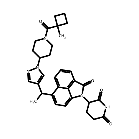 CC(c1cnn(C2CCN(C(=O)C3(C)CCC3)CC2)c1)c1ccc2c3c(cccc13)C(=O)N2C1CCC(=O)NC1=O